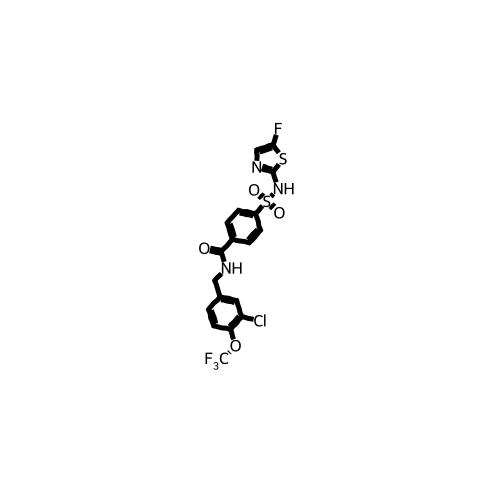 O=C(NCc1ccc(OC(F)(F)F)c(Cl)c1)c1ccc(S(=O)(=O)Nc2ncc(F)s2)cc1